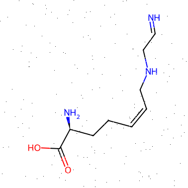 N=CCNC/C=C\CC[C@H](N)C(=O)O